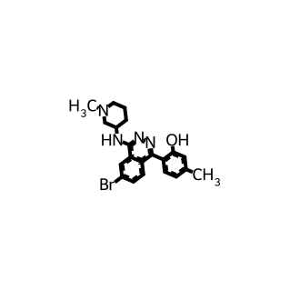 Cc1ccc(-c2nnc(NC3CCCN(C)C3)c3cc(Br)ccc23)c(O)c1